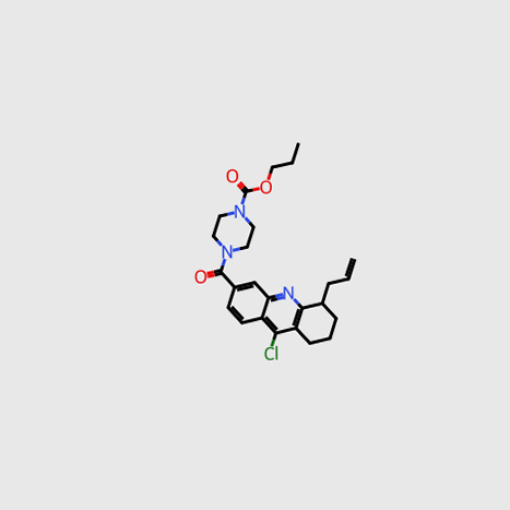 C=CCC1CCCc2c1nc1cc(C(=O)N3CCN(C(=O)OCCC)CC3)ccc1c2Cl